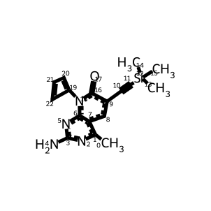 Cc1nc(N)nc2c1cc(C#C[Si](C)(C)C)c(=O)n2C1=CC=C1